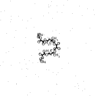 CC(C)(C)OOC(=O)C(=O)OCCC(C)(C)OOC(=O)C(=O)OOC(C)(C)CCOC(=O)C(=O)OOC(C)(C)C